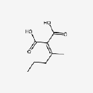 CCCC(C)=C(C(=O)O)C(=O)O